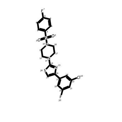 O=S(=O)(c1ccc(F)cc1)N1CCN(c2nc(-c3cc(F)cc(Cl)c3)cs2)CC1